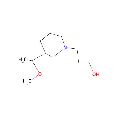 COC(C)C1CCCN(CCCO)C1